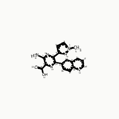 Cn1ccc(-c2nc(N)c(C(=O)O)nc2-c2ccc3ncccc3c2)n1